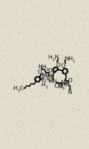 CCCCCCc1ccc(C(=O)NC(CCN)C(=O)N(C)C2C(=O)NC(C)C(=O)NC(C(=O)NCC#N)Cc3ccc(OCCN)c(c3)-c3cc2ccc3OCCN)c(C)c1